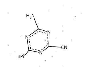 CCCc1nc(N)nc(C#N)n1